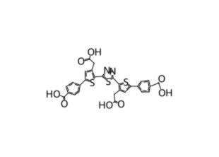 O=C(O)Cc1cc(-c2ccc(C(=O)O)cc2)sc1-c1nnc(-c2sc(-c3ccc(C(=O)O)cc3)cc2CC(=O)O)s1